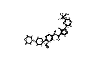 Cc1c(C(=O)Nc2ccc([C@]3(C#N)CC[C@@H](N4CCOCC4)CC3)nc2)cnn1-c1cccc(C(F)(F)F)n1